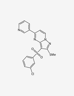 CSc1nn2ccc(-c3cccnc3)nc2c1S(=O)(=O)c1cccc(Cl)c1